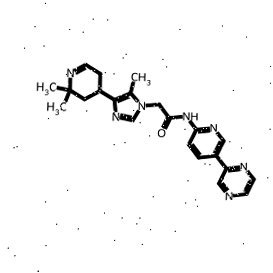 Cc1c(C2CC=NC(C)(C)C2)ncn1CC(=O)Nc1ccc(-c2cnccn2)cn1